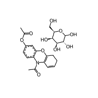 CC(=O)Oc1ccc2c(c1)OC1=C(C=CCC1)N2C(C)=O.OC[C@H]1OC(O)[C@H](O)[C@@H](O)[C@H]1O